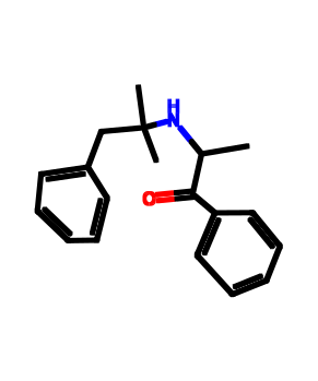 CC(NC(C)(C)Cc1ccccc1)C(=O)c1ccccc1